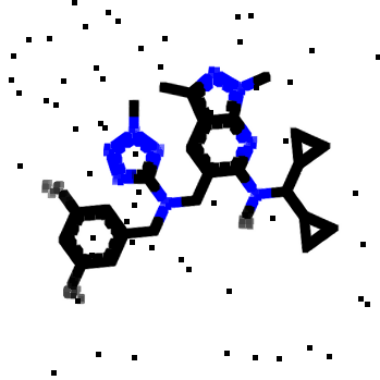 CCN(c1nc2c(cc1CN(Cc1cc(C(F)(F)F)cc(C(F)(F)F)c1)c1nnn(C)n1)c(C)nn2C)C(C1CC1)C1CC1